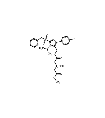 COC(=O)C[C@H](O)CC(=O)CCc1c(-c2ccc(F)cc2)nc(S(=O)(=O)Cc2ccccc2)n1C(C)C